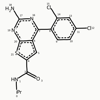 CC(C)NC(=O)c1cc2c(-c3ccc(Cl)cc3Cl)nc(N)nc2s1